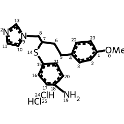 COc1ccc(CCC(Cn2ccnc2)Sc2ccc(N)cc2)cc1.Cl.Cl